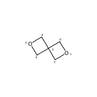 C1OCC12COC2